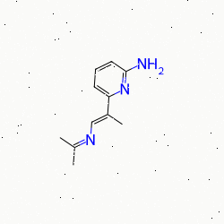 CC(C)=N/C=C(\C)c1cccc(N)n1